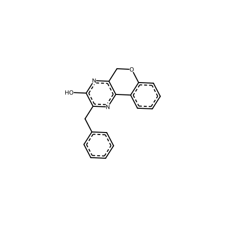 Oc1nc2c(nc1Cc1ccccc1)-c1ccccc1OC2